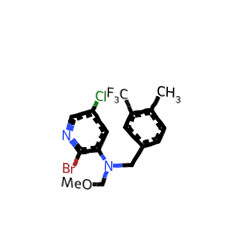 COCN(Cc1ccc(C)c(C(F)(F)F)c1)c1cc(Cl)cnc1Br